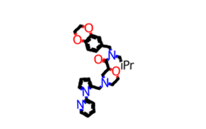 CC(C)CN(Cc1ccc2c(c1)OCCO2)C(=O)C1CN(Cc2cccn2-c2ccccn2)CCO1